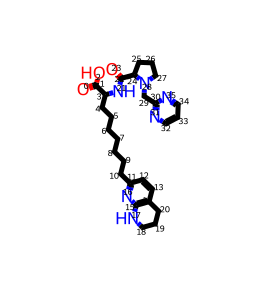 O=C(O)C(CCCCCCCc1ccc2c(n1)NCCC2)NC(=O)C1CCCN1Cc1ncccn1